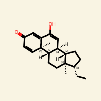 CC[C@H]1CC[C@H]2[C@@H]3C=C(O)C4=CC(=O)C=C[C@]4(C)[C@H]3CC[C@]12C